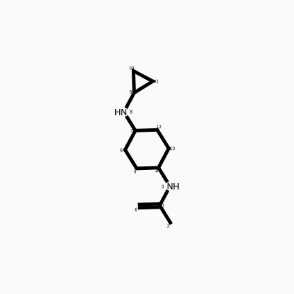 C=C(C)NC1CCC(NC2CC2)CC1